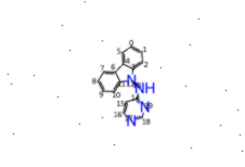 c1ccc2c(c1)c1ccccc1n2Nc1ccncn1